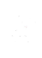 C[Si](C)(C)OC(CCCN([Si](C)(C)C)[Si](C)(C)C([Si](C)(C)C)([Si](C)(C)C)[Si](C)(C)C)(P(=O)(O)O)P(=O)(O)O